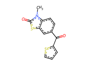 Cn1c(=O)sc2cc(C(=O)c3cccs3)ccc21